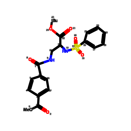 COC(=O)c1ccc(C(=O)NCC(NS(=O)(=O)c2ccccc2)C(=O)OC(C)(C)C)cc1